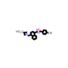 N#Cc1ccc(-c2nc(-c3ccc(CN4CC(C(=O)O)C4)c4ccccc34)no2)cc1